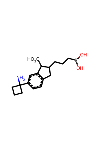 NC1(c2ccc3c(c2)C(C(=O)O)C(CCCB(O)O)C3)CCC1